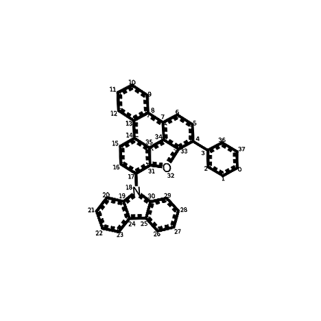 c1ccc(-c2ccc3c4ccccc4c4ccc(-n5c6ccccc6c6ccccc65)c5oc2c3c54)cc1